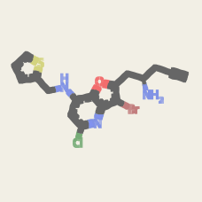 C#CC[C@@H](N)Cc1oc2c(NCc3cccs3)cc(Cl)nc2c1Br